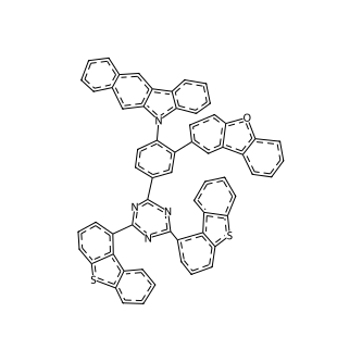 c1ccc2cc3c(cc2c1)c1ccccc1n3-c1ccc(-c2nc(-c3cccc4sc5ccccc5c34)nc(-c3cccc4sc5ccccc5c34)n2)cc1-c1ccc2oc3ccccc3c2c1